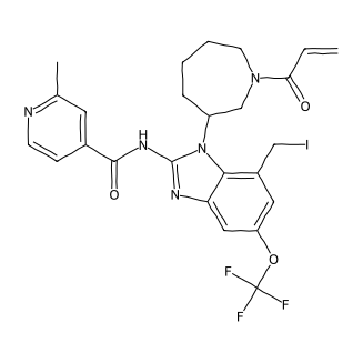 C=CC(=O)N1CCCCC(n2c(NC(=O)c3ccnc(C)c3)nc3cc(OC(F)(F)F)cc(CI)c32)C1